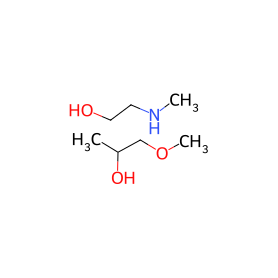 CNCCO.COCC(C)O